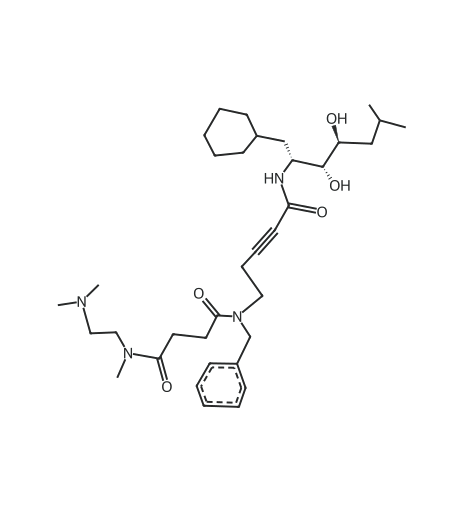 CC(C)C[C@H](O)[C@H](O)[C@@H](CC1CCCCC1)NC(=O)C#CCCN(Cc1ccccc1)C(=O)CCC(=O)N(C)CCN(C)C